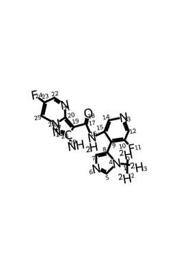 [2H]C([2H])([2H])n1cncc1-c1c(F)cncc1NC(=O)c1c2ncc(F)cn2n[13c]1N